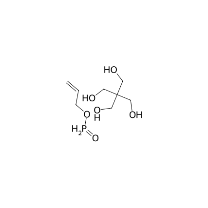 C=CCO[PH2]=O.OCC(CO)(CO)CO